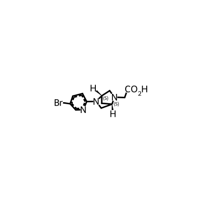 O=C(O)CN1C[C@@H]2C[C@H]1CN2c1ccc(Br)cn1